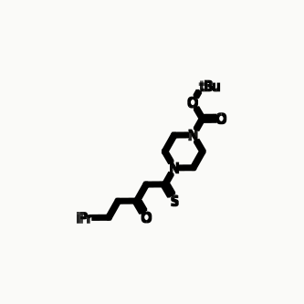 CC(C)CCC(=O)CC(=S)N1CCN(C(=O)OC(C)(C)C)CC1